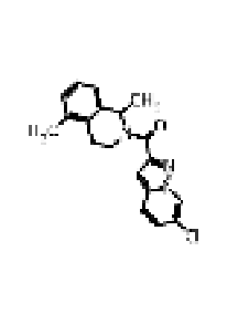 Cc1cccc2c1CCN(C(=O)c1cc3ccc(Cl)cn3n1)C2C